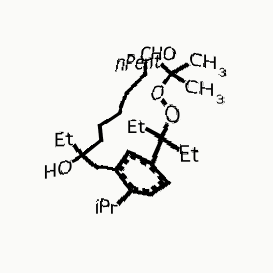 CCCCCC(C)(C)OOC(CC)(CC)c1ccc(C(C)C)c(CC(O)(CC)CCCCCC=O)c1